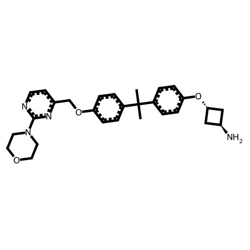 CC(C)(c1ccc(OCc2ccnc(N3CCOCC3)n2)cc1)c1ccc(O[C@H]2C[C@H](N)C2)cc1